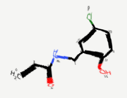 C=CC(=O)NCc1cc(Cl)ccc1O